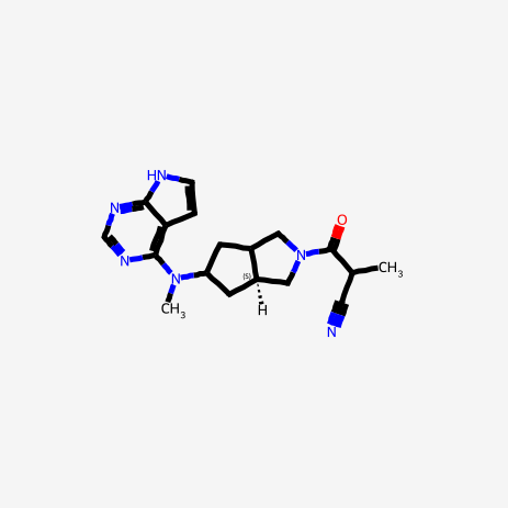 CC(C#N)C(=O)N1CC2CC(N(C)c3ncnc4[nH]ccc34)C[C@@H]2C1